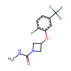 CNC(=O)N1CC(Oc2cc(C(F)(F)F)ccc2F)C1